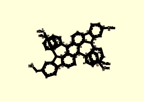 CCCCCCCCCCc1ccc(C2c3cc(CO)ccc3-c3ccc4c(-c5ccc(CCCC)cc5)c5c6c(ccc5c(-c5ccc(CCCC)cc5)c4c32)-c2ccc(OC)cc2C6c2ccc(CCCCCCCCCC)cc2)cc1